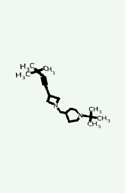 CC(C)(C)C#CC1CN(CC2CCN(C(C)(C)C)CC2)C1